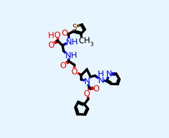 Cc1ccsc1C(=O)NC(CNC(=O)COC1CC(CNc2ccccn2)N(C(=O)OCc2ccccc2)C1)C(=O)O